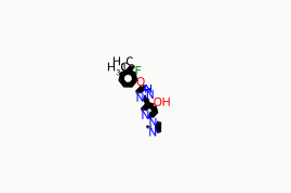 CC[C@@]1(C)CCCC[C@@H](Oc2cnc(-c3cnc(-n4ccnc4)cc3O)nn2)[C@@H]1F